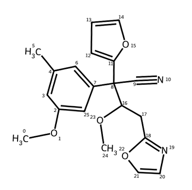 COc1cc(C)cc(C(C#N)(c2ccco2)C(Cc2ncco2)OC)c1